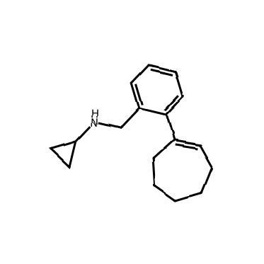 C1=C(c2ccccc2CNC2CC2)CCCCC1